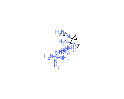 N.N.N.N.NC(N)(N1CC1)C1(N2CC2)CC1.N[N+](N)(N)N